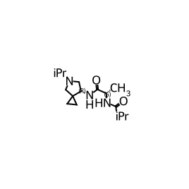 CC(C)C(=O)N[C@@H](C)C(=O)N[C@H]1CN(C(C)C)CC12CC2